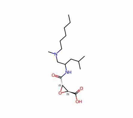 CCCCCCN(C)CC(CC(C)C)NC(=O)[C@H]1O[C@@H]1C(=O)O